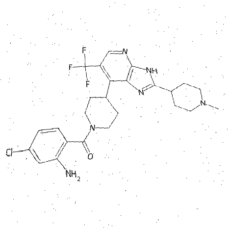 CN1CCC(c2nc3c(C4CCN(C(=O)c5ccc(Cl)cc5N)CC4)c(C(F)(F)F)cnc3[nH]2)CC1